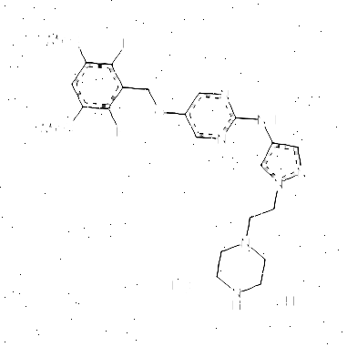 COc1cc(OC)c(F)c(COc2cnc(Nc3cnn(CCN4C[C@@H](C)N[C@@H](C)C4)c3)nc2)c1F